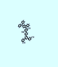 N#Cc1cccc(-c2cc(-c3ccc(-c4cc(C#N)c(-n5c6ccccc6c6cc(N(c7ccccc7)c7ccccc7)ccc65)cc4C#N)cc3)nc(-c3cccc(C#N)c3)n2)c1